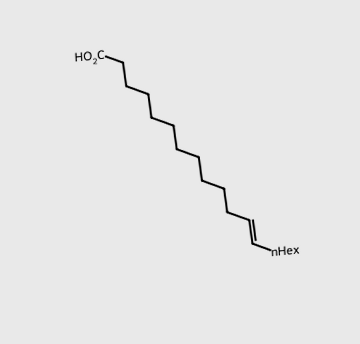 CCCCCCC=CCCCCCCCCCCC(=O)O